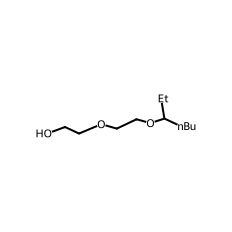 [CH2]CCCC(CC)OCCOCCO